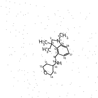 CN1CC(C)(C)c2c(CNC3CCOCC3)cccc21